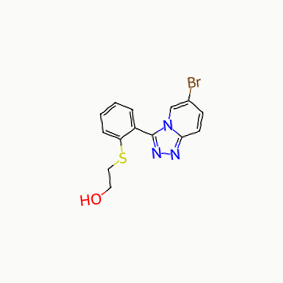 OCCSc1ccccc1-c1nnc2ccc(Br)cn12